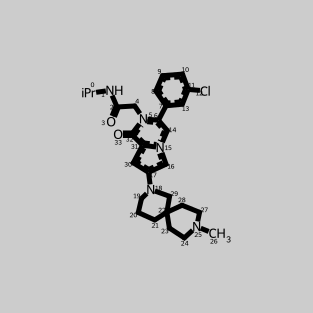 CC(C)NC(=O)Cn1c(-c2cccc(Cl)c2)cn2cc(N3CCCC4(CCN(C)CC4)C3)cc2c1=O